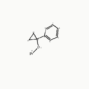 CC(C)OC1(c2ccccc2)CC1